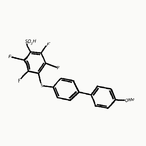 COc1ccc(-c2ccc(Sc3c(F)c(F)c(S(=O)(=O)O)c(F)c3F)cc2)cc1